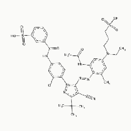 CCN(CCCS(=O)(=O)O)c1cc(C)c(/N=N/c2c(C#N)c(C(C)(C)C)nn2-c2ccc(NC(=O)c3cccc(S(=O)(=O)O)c3)cc2Cl)c(NC(C)=O)c1